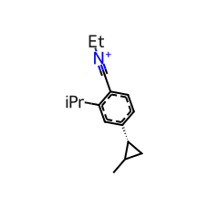 CC[N+]#Cc1ccc([C@@H]2CC2C)cc1C(C)C